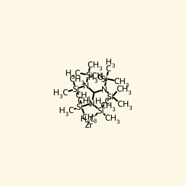 C[Si](C)(C)N(C(N([Si](C)(C)C)[Si](C)(C)C)N([Si](C)(C)C)[Si](C)(C)C)[Si](C)(C)C.[Zr]